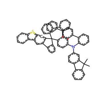 CC1(C)c2ccccc2-c2ccc(N(c3ccc4c(c3)-c3ccccc3-c3ccccc3C43c4ccccc4-c4cc5c(cc43)sc3ccccc35)c3ccccc3-c3ccc(-c4ccccc4)cc3)cc21